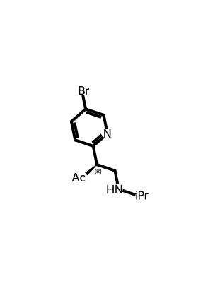 CC(=O)[C@H](CNC(C)C)c1ccc(Br)cn1